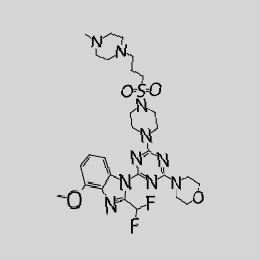 COc1cccc2c1nc(C(F)F)n2-c1nc(N2CCOCC2)nc(N2CCN(S(=O)(=O)CCCN3CCN(C)CC3)CC2)n1